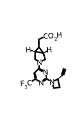 C#C[C@H]1CCN1c1nc(N2C[C@@H]3C(CC(=O)O)[C@@H]3C2)cc(C(F)(F)F)n1